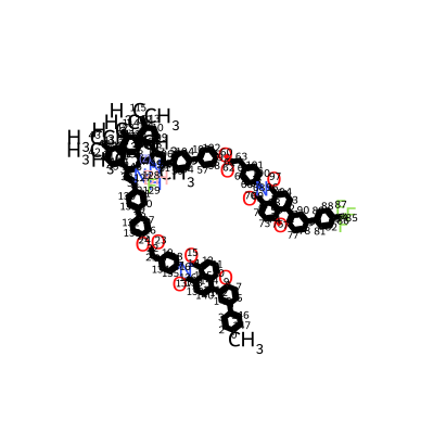 Cc1ccc(-c2ccc3oc4ccc5c(=O)n(-c6ccc(CC(=O)Oc7ccc(-c8ccc(-c9cc(-c%10ccc(C(C)(C)C)cc%10)c(/C(=C%10\NC(C)(c%11ccc(-c%12ccc(OC(=O)Cc%13ccc(-n%14c(=O)c%15ccc%16oc%17ccc(-c%18ccc(C(F)(F)F)cc%18)cc%17c%17ccc(c%14=O)c%15c%16%17)cc%13)cc%12)cc%11)C=C%10c%10ccc(C(C)(C)C)cc%10)c%10c(C)cc(C)cc%10C)n9BF)cc8)cc7)cc6)c(=O)c6ccc(c3c2)c4c56)cc1